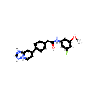 O=C(Cc1ccc(-c2ccn3ncnc3c2)cc1)Nc1cc(F)cc(OC(F)(F)F)c1